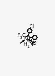 CC#Cn1nc(-c2ccccc2S(N)(=O)=O)c(-c2ccc(Cl)cc2)c1C(F)(F)F